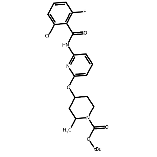 CC1CC(Oc2cccc(NC(=O)c3c(F)cccc3Cl)n2)CCN1C(=O)OC(C)(C)C